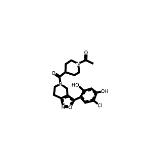 CC(=O)N1CCC(C(=O)N2CCc3noc(-c4cc(Cl)c(O)cc4O)c3C2)CC1